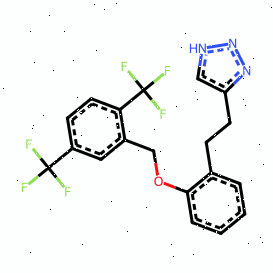 FC(F)(F)c1ccc(C(F)(F)F)c(COc2ccccc2CCc2c[nH]nn2)c1